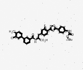 Cc1ccc(-c2cccc(C(=O)NC(Cc3ccc(-c4noc(-c5ccc(NC(=O)OC(C)(C)C)cc5)n4)c(F)c3)C(=O)O)c2)cc1Cl